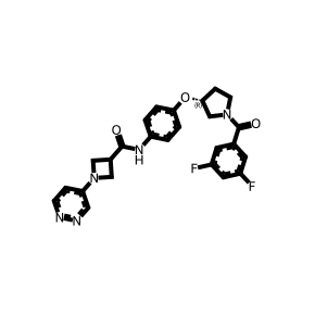 O=C(Nc1ccc(O[C@@H]2CCN(C(=O)c3cc(F)cc(F)c3)C2)cc1)C1CN(c2ccnnc2)C1